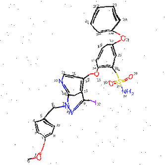 COc1ccc(Cn2nc(I)c3c(Oc4ccc(Oc5ccccc5)cc4S(N)(=O)=O)ccnc32)cc1